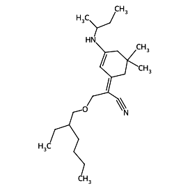 CCCCC(CC)COC/C(C#N)=C1\C=C(NC(C)CC)CC(C)(C)C1